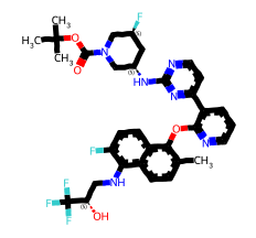 Cc1ccc2c(NC[C@H](O)C(F)(F)F)c(F)ccc2c1Oc1ncccc1-c1ccnc(N[C@H]2C[C@H](F)CN(C(=O)OC(C)(C)C)C2)n1